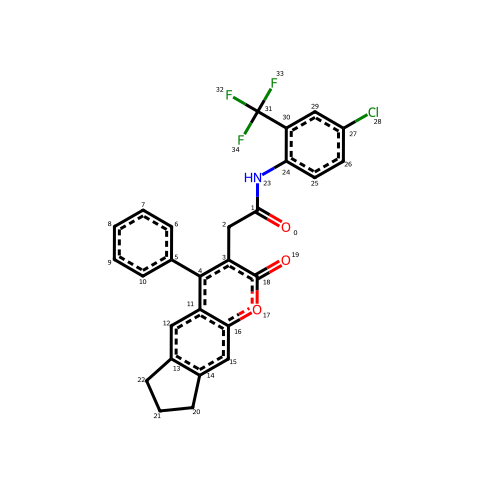 O=C(Cc1c(-c2ccccc2)c2cc3c(cc2oc1=O)CCC3)Nc1ccc(Cl)cc1C(F)(F)F